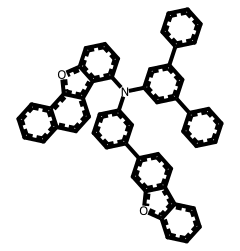 c1ccc(-c2cc(-c3ccccc3)cc(N(c3cccc(-c4ccc5c(c4)oc4ccccc45)c3)c3cccc4oc5c6ccccc6ccc5c34)c2)cc1